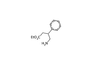 CCOC(=O)CC(CN)c1ccccc1